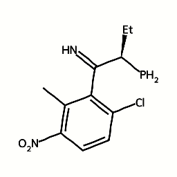 CC[C@@H](P)C(=N)c1c(Cl)ccc([N+](=O)[O-])c1C